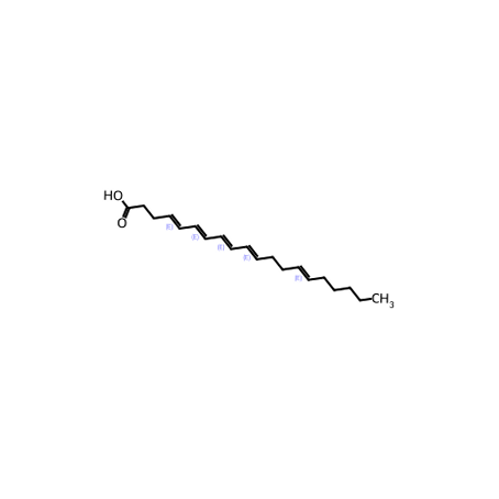 CCCCC/C=C/CC/C=C/C=C/C=C/C=C/CCC(=O)O